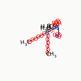 COCCOCCOCCOCCOCCOCCN(CCOCCOCCOCCOCCOCCOC)c1ccc2c(C(C)(C)C)cc(/C=C/C=C3/N(CCCCCC(=O)ON4C(=O)CCC4=O)c4ccc(S(=O)(=O)[O-])cc4C3(C)CCCS(=O)(=O)O)[o+]c2c1